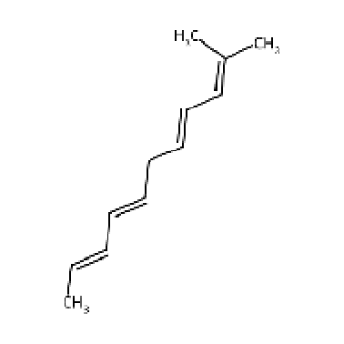 CC=CC=CCC=CC=C(C)C